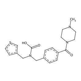 CN1CCN(C(=O)c2ccc(CN(Cc3ccsc3)C(=O)O)cc2)CC1